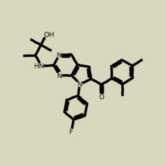 Cc1ccc(C(=O)c2cc3cnc(NC(C)C(C)(C)O)nc3n2-c2ccc(F)cc2)c(C)c1